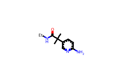 CCNC(=O)C(C)(C)c1ccc(N)nc1